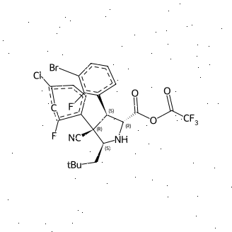 CC(C)(C)C[C@@H]1N[C@@H](C(=O)OC(=O)C(F)(F)F)[C@H](c2cccc(Br)c2F)[C@@]1(C#N)c1ccc(Cl)cc1F